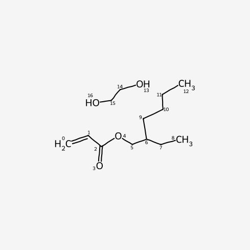 C=CC(=O)OCC(CC)CCCC.OCCO